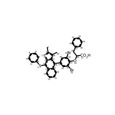 Cc1sc2c(Sc3ccccc3)c3ccccc3c(-c3cc(Br)c(OC(Cc4ccccc4)C(=O)O)c(Br)c3)c2c1C